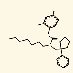 CCCCCCCN(CC1(c2ccccc2)CCCC1)C(=O)Nc1ccc(F)cc1F